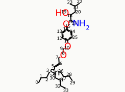 CCC[CH2][Sn]([CH]=CCOCOc1ccc(OC(N)C(O)CC(C)C)cc1)([CH2]CCC)[CH2]CCC